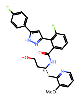 COc1cccnc1C[C@H](CCO)NC(=O)c1cccc(F)c1-c1cc(-c2ccc(F)cc2)[nH]n1